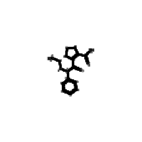 CCON(C(=O)C1=C(C(=O)O)CCC1)c1ccccc1